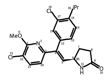 COc1nc(C(=C[C@H]2CCC(=O)N2)c2ccc(C(C)C)c(Cl)c2)ccc1Cl